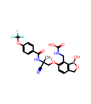 CC(C#N)(COc1ccc2c(c1CNC(=O)O)B(O)OC2)NC(=O)c1ccc(OC(F)(F)F)cc1